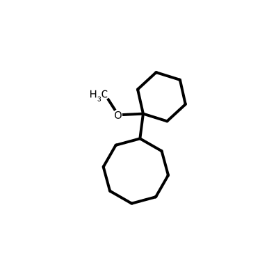 COC1(C2CCCCCCC2)CCCCC1